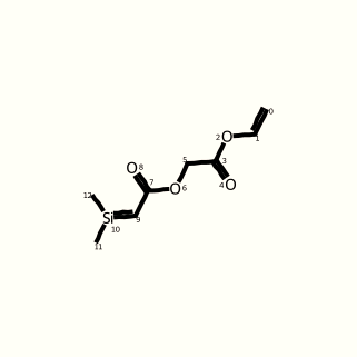 C=COC(=O)COC(=O)C=[Si](C)C